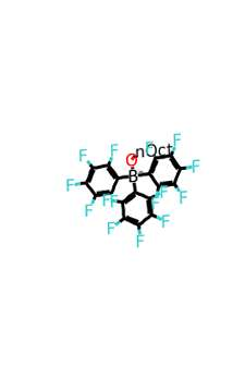 CCCCCCCCO[B-](c1c(F)c(F)c(F)c(F)c1F)(c1c(F)c(F)c(F)c(F)c1F)c1c(F)c(F)c(F)c(F)c1F